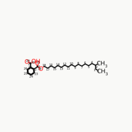 CCC(C)CCCCCCCCCCCCCCCOC(=O)c1ccccc1C(=O)O